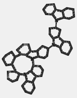 c1ccc2c(c1)c1ccccc1n1c3ccccc3c3cccc(c31)n1c3ccc(-n4c5ccccc5c5cc(-n6c7ccccc7c7ccccc76)ccc54)cc3c3cccc2c31